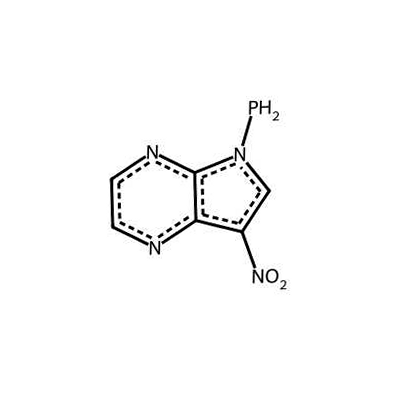 O=[N+]([O-])c1cn(P)c2nccnc12